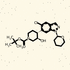 CC(C)(C)OC(=O)N1CC[C@H](c2cc3c(cnn3[C@@H]3CCCCO3)cc2Cl)[C@@H](O)C1